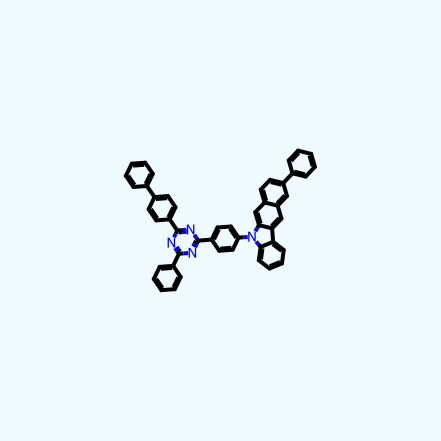 c1ccc(-c2ccc(-c3nc(-c4ccccc4)nc(-c4ccc(-n5c6ccccc6c6cc7cc(-c8ccccc8)ccc7cc65)cc4)n3)cc2)cc1